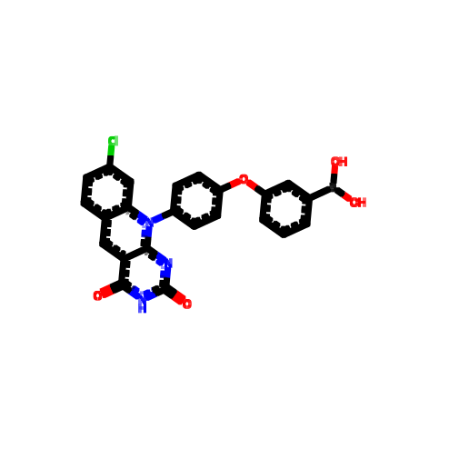 O=c1nc2n(-c3ccc(Oc4cccc(B(O)O)c4)cc3)c3cc(Cl)ccc3cc-2c(=O)[nH]1